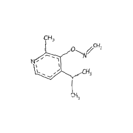 C=NOc1c(C(C)C)ccnc1C